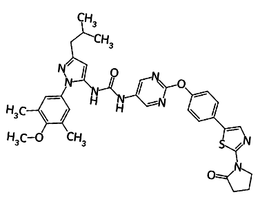 COc1c(C)cc(-n2nc(CC(C)C)cc2NC(=O)Nc2cnc(Oc3ccc(-c4cnc(N5CCCC5=O)s4)cc3)nc2)cc1C